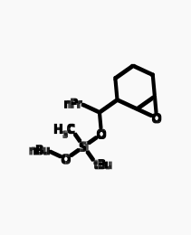 CCCCO[Si](C)(OC(CCC)C1CCCC2OC21)C(C)(C)C